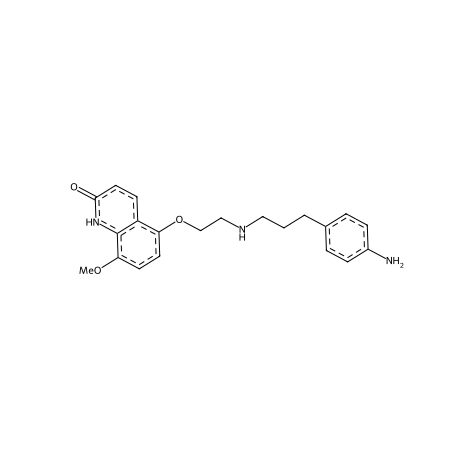 COc1ccc(OCCNCCCc2ccc(N)cc2)c2ccc(=O)[nH]c12